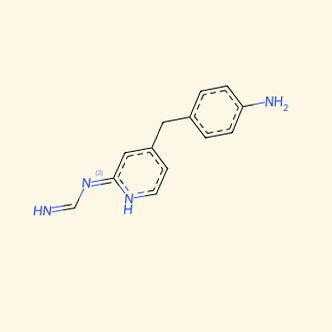 N=C/N=c1/cc(Cc2ccc(N)cc2)cc[nH]1